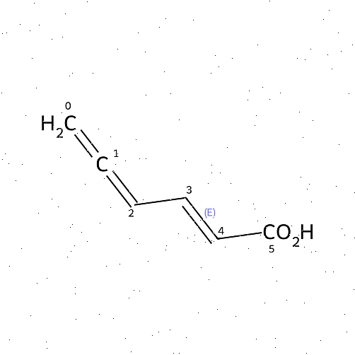 C=C=C/C=C/C(=O)O